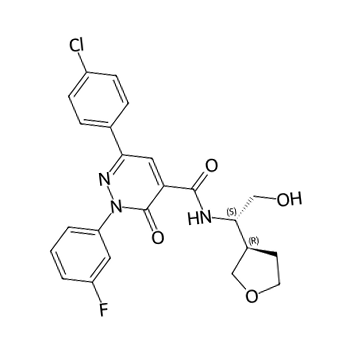 O=C(N[C@H](CO)[C@H]1CCOC1)c1cc(-c2ccc(Cl)cc2)nn(-c2cccc(F)c2)c1=O